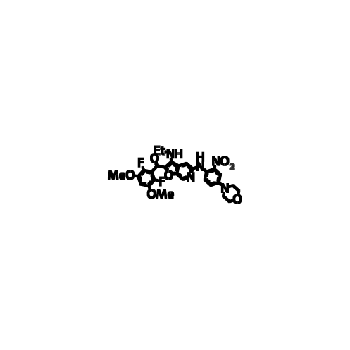 CCNc1c(C(=O)c2c(F)c(OC)cc(OC)c2F)oc2cnc(Nc3ccc(N4CCOCC4)cc3[N+](=O)[O-])cc12